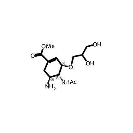 COC(=O)C1=C[C@@H](OCC(O)CO)[C@H](NC(C)=O)[C@@H](N)C1